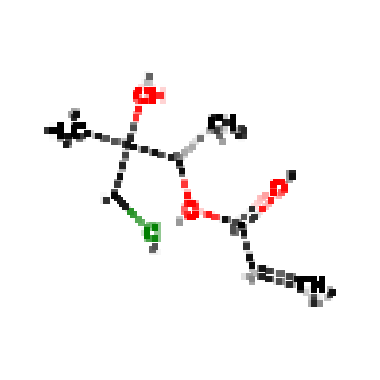 [CH2]C(O)(CCl)C(C)OC(=O)C=C